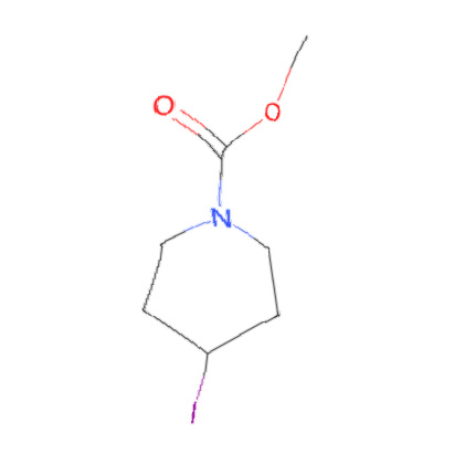 COC(=O)N1CCC(I)CC1